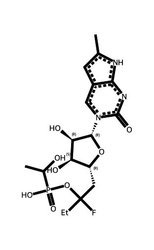 CCC(F)(C[C@H]1O[C@@H](n2cc3cc(C)[nH]c3nc2=O)[C@H](O)[C@@H]1O)OP(=O)(O)C(C)O